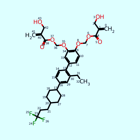 C=C(CO)C(=O)OCOc1ccc(-c2ccc(C3CCC(CCC(F)(F)F)CC3)cc2CC)cc1OCOC(=O)C(=C)CO